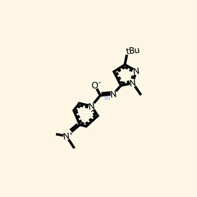 Cn1nc(C(C)(C)C)cc1/N=C(\[O-])n1ccc(=[N+](C)C)cc1